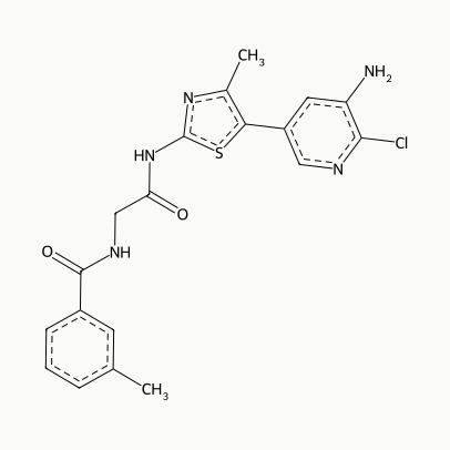 Cc1cccc(C(=O)NCC(=O)Nc2nc(C)c(-c3cnc(Cl)c(N)c3)s2)c1